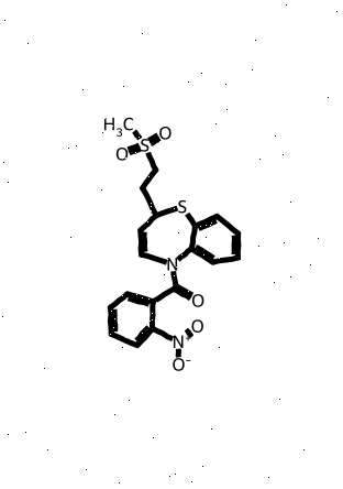 CS(=O)(=O)CCC1C=CN(C(=O)c2ccccc2[N+](=O)[O-])c2ccccc2S1